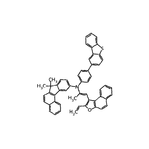 C=Cc1oc2ccc3ccccc3c2c1/C=C(\C)N(c1ccc(-c2ccc3sc4ccccc4c3c2)cc1)c1ccc2c(c1)-c1c(ccc3ccccc13)C2(C)C